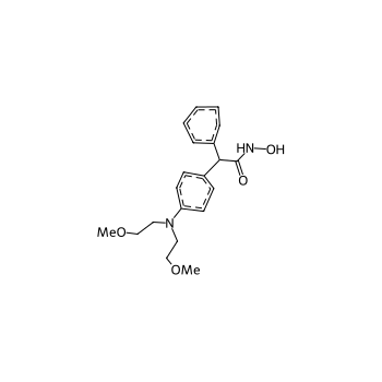 COCCN(CCOC)c1ccc(C(C(=O)NO)c2ccccc2)cc1